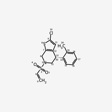 C=CS(=O)(=O)N1Cc2sc(Cl)cc2[C@H](c2ccccc2C)C1